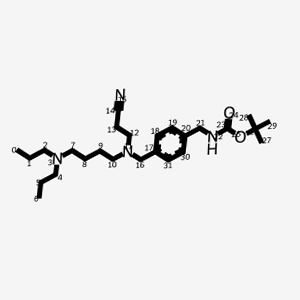 CCCN(CCC)CCCCN(CCC#N)Cc1ccc(CNC(=O)OC(C)(C)C)cc1